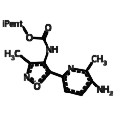 CCCC(C)OC(=O)Nc1c(C)noc1-c1ccc(N)c(C)n1